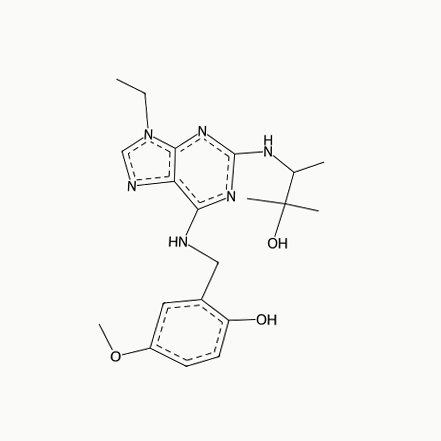 CCn1cnc2c(NCc3cc(OC)ccc3O)nc(NC(C)C(C)(C)O)nc21